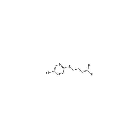 FC(F)=CCCSc1ccc(Cl)cn1